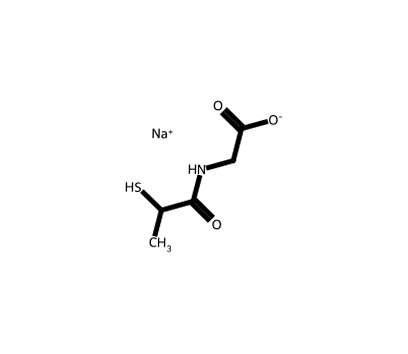 CC(S)C(=O)NCC(=O)[O-].[Na+]